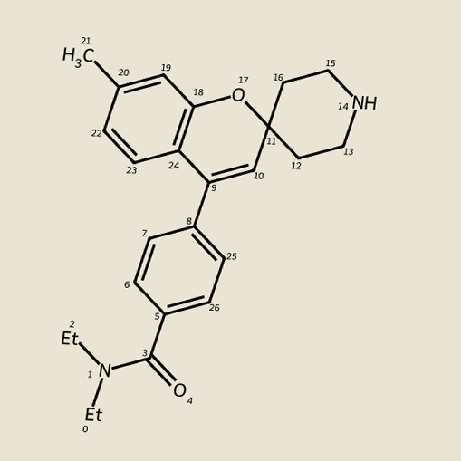 CCN(CC)C(=O)c1ccc(C2=CC3(CCNCC3)Oc3cc(C)ccc32)cc1